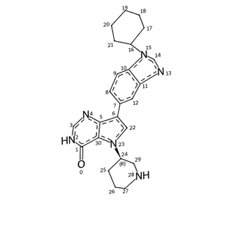 O=c1[nH]cnc2c(-c3ccc4c(c3)ncn4C3CCCCC3)cn([C@@H]3CCCNC3)c12